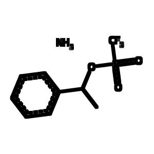 CC(OS(=O)(=O)C(F)(F)F)c1ccccc1.N